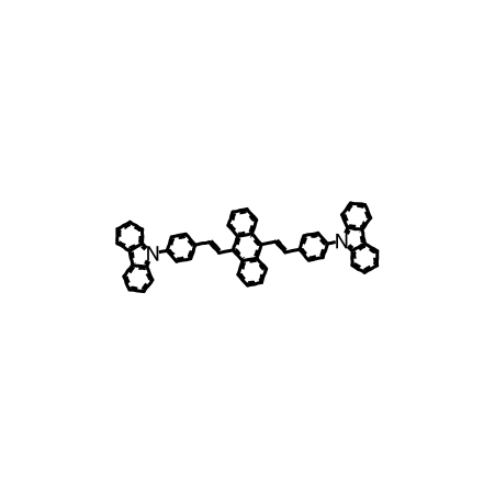 C(=Cc1c2ccccc2c(C=Cc2ccc(-n3c4ccccc4c4ccccc43)cc2)c2ccccc12)c1ccc(-n2c3ccccc3c3ccccc32)cc1